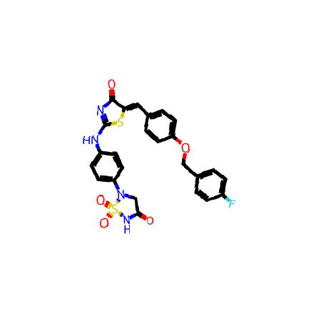 O=C1CN(c2ccc(NC3=NC(=O)/C(=C/c4ccc(OCc5ccc(F)cc5)cc4)S3)cc2)S(=O)(=O)N1